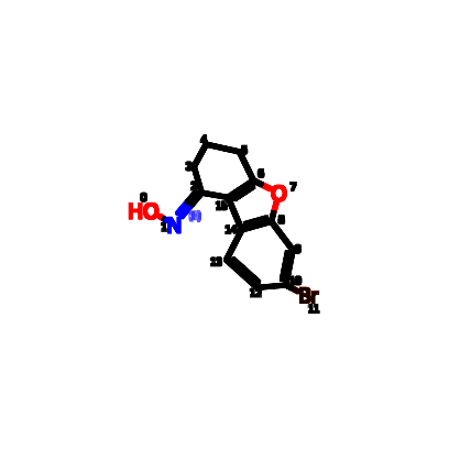 O/N=C1\CCCc2oc3cc(Br)ccc3c21